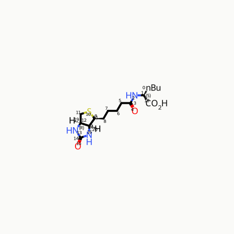 CCCC[C@H](NC(=O)CCCC[C@@H]1SC[C@@H]2NC(=O)N[C@@H]21)C(=O)O